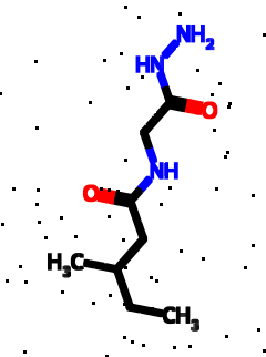 CCC(C)CC(=O)NCC(=O)NN